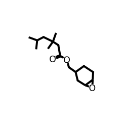 CC(C)CC(C)(C)CC(=O)OCC1CCC2OC2C1